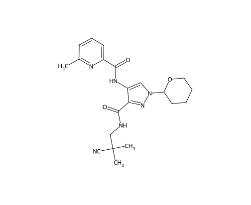 Cc1cccc(C(=O)Nc2cn(C3CCCCO3)nc2C(=O)NCC(C)(C)C#N)n1